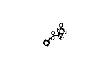 O=C(OCc1ccccc1)c1noc2ncc(Cl)nc12